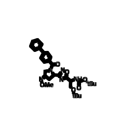 CO/N=C1\CC(c2noc(C(COC(C)(C)C)NC(=O)OC(C)(C)C)n2)N(C(=O)c2ccc(-c3ccccc3)cc2)C1